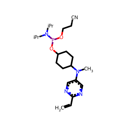 C=Cc1ncc(N(C)C2CCC(OP(OCCC#N)N(C(C)C)C(C)C)CC2)cn1